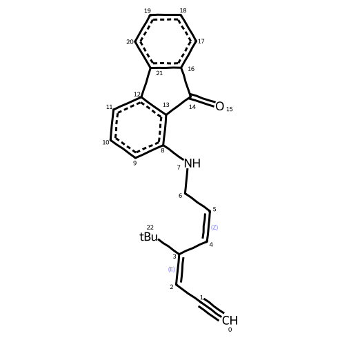 C#C/C=C(\C=C/CNc1cccc2c1C(=O)c1ccccc1-2)C(C)(C)C